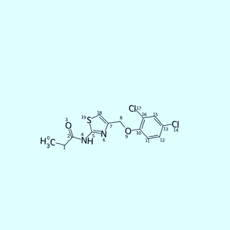 CCC(=O)Nc1nc(COc2ccc(Cl)cc2Cl)cs1